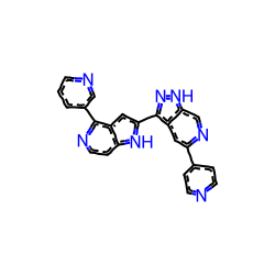 c1cncc(-c2nccc3[nH]c(-c4n[nH]c5cnc(-c6ccncc6)cc45)cc23)c1